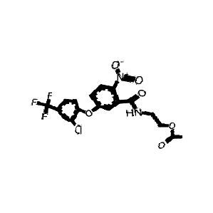 CC(=O)OCCNC(=O)c1cc(Oc2ccc(C(F)(F)F)cc2Cl)ccc1[N+](=O)[O-]